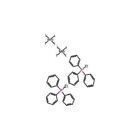 CC[P+](c1ccccc1)(c1ccccc1)c1ccccc1.CC[P+](c1ccccc1)(c1ccccc1)c1ccccc1.[I][Mn-]([I])([I])[I].[I][Mn-]([I])([I])[I]